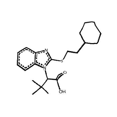 CC(C)(C)C(C(=O)O)n1c(SCCC2CCCCC2)nc2ccccc21